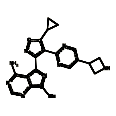 CC(C)(C)n1nc(-c2noc(C3CC3)c2-c2ncc(C3CNC3)cn2)c2c(N)ncnc21